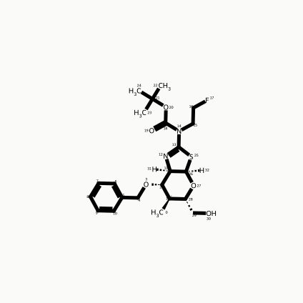 C[C@H]1[C@H](OCc2ccccc2)[C@H]2N=C(N(CCF)C(=O)OC(C)(C)C)S[C@H]2O[C@@H]1CO